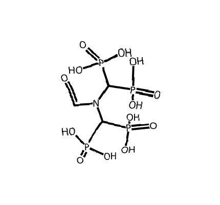 O=CN(C(P(=O)(O)O)P(=O)(O)O)C(P(=O)(O)O)P(=O)(O)O